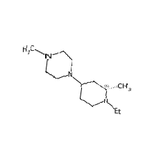 CCN1CCC(N2CCN(C)CC2)C[C@@H]1C